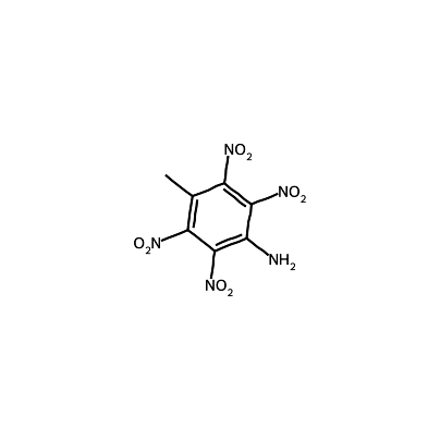 Cc1c([N+](=O)[O-])c([N+](=O)[O-])c(N)c([N+](=O)[O-])c1[N+](=O)[O-]